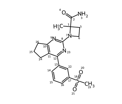 CC1(C(N)=O)CCN1c1nc2c(c(-c3cccc(S(C)(=O)=O)c3)n1)CCC2